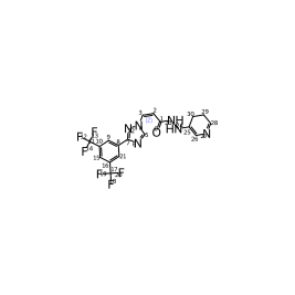 O=C(/C=C\n1cnc(-c2cc(C(F)(F)F)cc(C(F)(F)F)c2)n1)NNC1=CN=CCC1